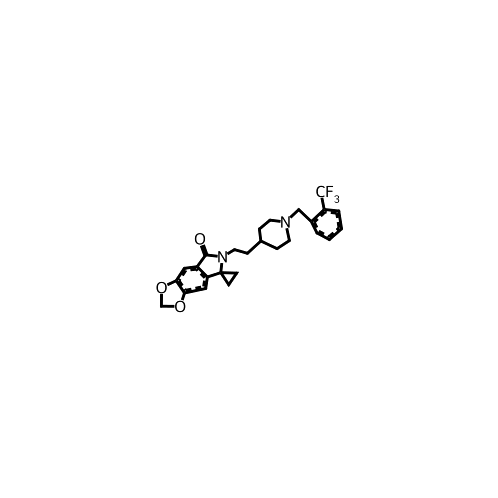 O=C1c2cc3c(cc2C2(CC2)N1CCC1CCN(Cc2ccccc2C(F)(F)F)CC1)OCO3